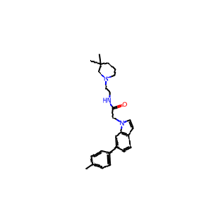 Cc1ccc(-c2ccc3ccn(CC(=O)NCCN4CCCC(C)(C)C4)c3c2)cc1